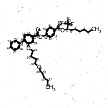 CCCCCC[C@@H](OC(=O)c1ccc(OC(=O)c2ccc(-c3ccccc3)c(OCCCCOCCCCC)c2)cc1)C(F)(F)F